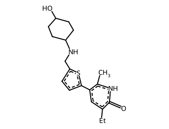 CCc1cc(-c2ccc(CNC3CCC(O)CC3)s2)c(C)[nH]c1=O